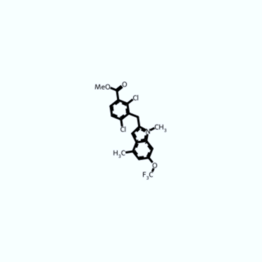 COC(=O)c1ccc(Cl)c(Cc2cc3c(C)cc(OC(F)(F)F)cc3n2C)c1Cl